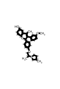 COc1cccc(C2=C(C)c3cc(O)ccc3OC2c2ccc(OCC(C)N3CCC(C)C3)cc2)c1